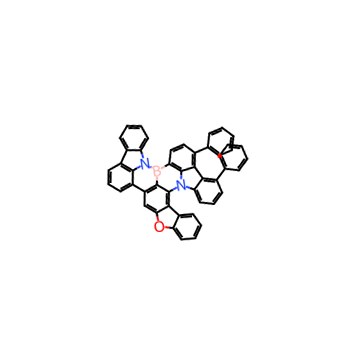 c1ccc(-c2cccc3c2c2c(-c4ccccc4)ccc4c2n3-c2c3c(cc5oc6ccccc6c25)-c2cccc5c6ccccc6n(c25)B34)cc1